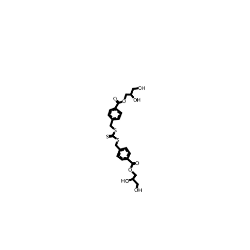 O=C(OCC(O)CO)c1ccc(CSC(=S)SCc2ccc(C(=O)OCC(O)CO)cc2)cc1